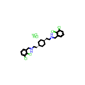 Cl.Cl.Clc1cccc(CNCC[C@H]2CC[C@H](CCNCc3cccc(Cl)c3Cl)CC2)c1Cl